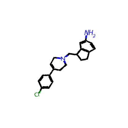 Nc1ccc2c(c1)C(CN1CC=C(c3ccc(Cl)cc3)CC1)CC2